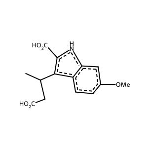 COc1ccc2c(C(C)CC(=O)O)c(C(=O)O)[nH]c2c1